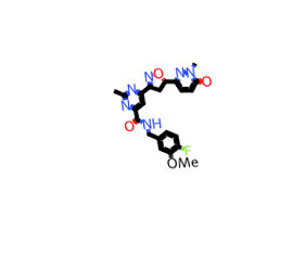 COc1cc(CNC(=O)c2cc(C3=NOC(c4ccc(=O)n(C)n4)C3)nc(C)n2)ccc1F